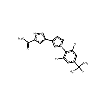 COC(=O)c1cc(-c2cnn(-c3c(Cl)cc(C(C)(C)F)cc3Cl)c2)c[nH]1